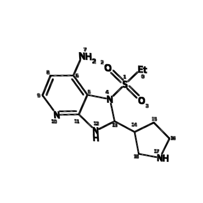 CCS(=O)(=O)N1c2c(N)ccnc2NC1C1CCNC1